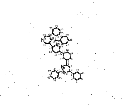 c1ccc(-c2cc(-c3cccc(-c4ccc5c(c4)C(c4ccccc4)(c4ccccc4)c4ccncc4-5)c3)nc(-c3ccccc3)n2)cc1